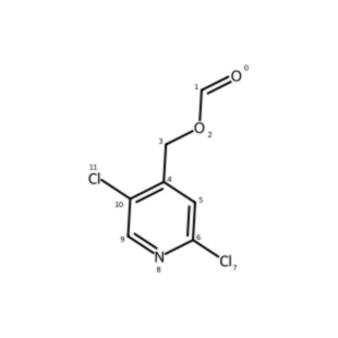 O=COCc1cc(Cl)ncc1Cl